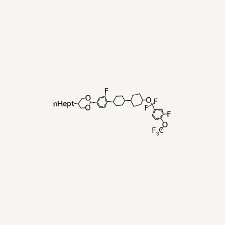 CCCCCCCC1COC(c2ccc(C3CCC(C4CCC(OC(F)(F)c5ccc(OC(F)(F)F)c(F)c5)CC4)CC3)c(F)c2)OC1